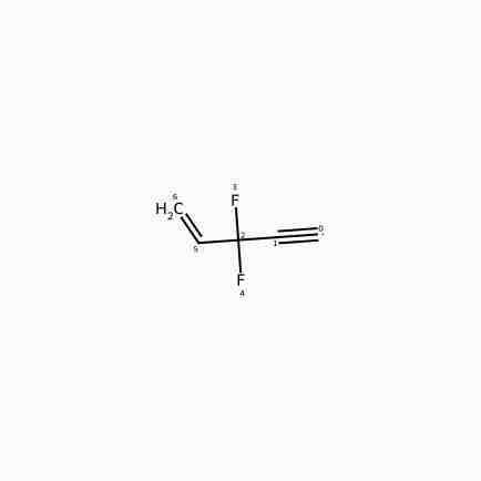 [C]#CC(F)(F)C=C